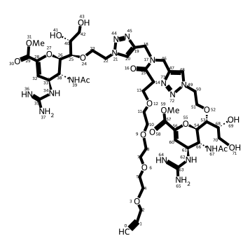 C#CCOCCOCCOCCOCCC(=O)N(Cc1cn(CCO[C@@H]([C@@H]2OC(C(=O)OC)=C[C@H](NC(=N)N)[C@H]2NC(C)=O)[C@H](O)CO)nn1)Cc1cn(CCO[C@@H]([C@@H]2OC(C(=O)OC)=C[C@H](NC(=N)N)[C@H]2NC(C)=O)[C@H](O)CO)nn1